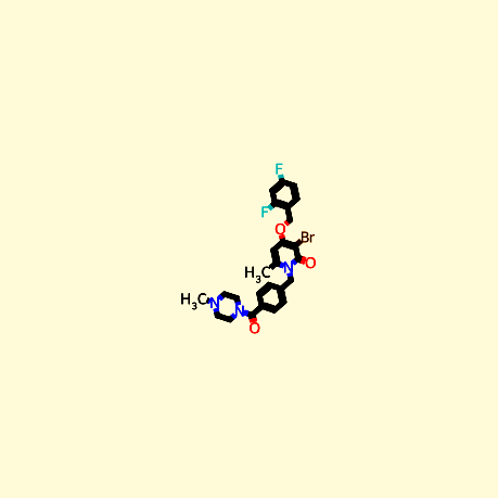 Cc1cc(OCc2ccc(F)cc2F)c(Br)c(=O)n1Cc1ccc(C(=O)N2CCN(C)CC2)cc1